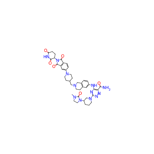 CN1CCN(C2CCCN(c3nnc(C(N)=O)c(Nc4ccc5c(c4)CCN(CC4CCN(c6ccc7c(c6)C(=O)N(C6CCC(=O)NC6=O)C7=O)CC4)C5)n3)C2)C1=O